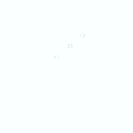 CCC[O][Al]=[O]